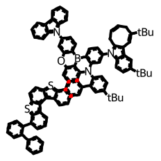 CC(C)(C)/C1=C/c2c(n(-c3ccc4c(c3)N(c3ccc(C(C)(C)C)cc3-c3ccccc3)c3cc(-c5cccc6c5sc5ccc7sc8c(-c9ccccc9-c9ccccc9)cccc8c7c56)cc5c3B4c3ccc(-n4c6ccccc6c6ccccc64)cc3O5)c3ccc(C(C)(C)C)cc23)C/C=C\C1